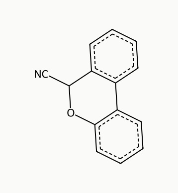 N#CC1Oc2ccccc2-c2ccccc21